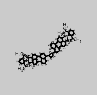 CC(C)c1cccc(C(C)C)c1N1C(=O)c2ccc3c4cccc5c(-c6ccc(-c7ccc8c9ccc%10c%11c(ccc(c%12cccc7c%128)c%119)C(=O)N(c7c(C(C)C)cccc7C(C)C)C%10=O)s6)ccc(c6ccc(c2c36)C1=O)c54